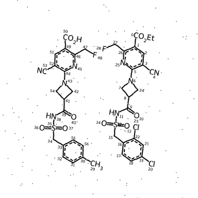 CCOC(=O)c1cc(C#N)c(N2CC(C(=O)NS(=O)(=O)Cc3ccc(Cl)cc3Cl)C2)nc1CF.Cc1ccc(CS(=O)(=O)NC(=O)C2CN(c3nc(CF)c(C(=O)O)cc3C#N)C2)cc1